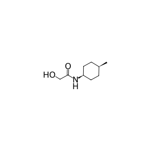 C[C@H]1CC[C@@H](NC(=O)CO)CC1